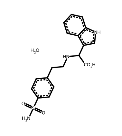 NS(=O)(=O)c1ccc(CCNC(C(=O)O)c2c[nH]c3ccccc23)cc1.O